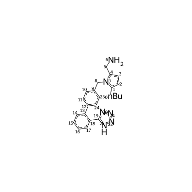 CCCCc1ccc(CN)n1Cc1ccc(-c2ccccc2-c2nnn[nH]2)cc1